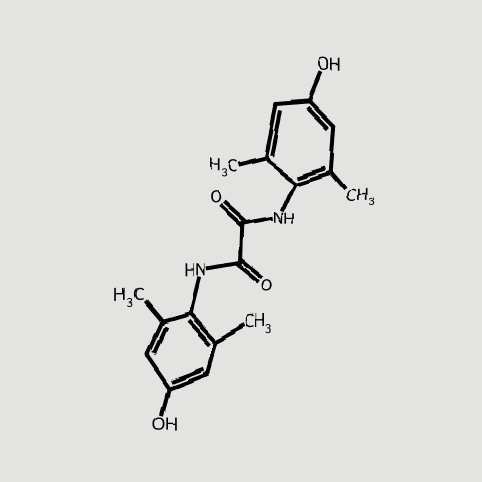 Cc1cc(O)cc(C)c1NC(=O)C(=O)Nc1c(C)cc(O)cc1C